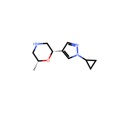 C[C@@H]1CNC[C@H](c2cnn(C3CC3)c2)O1